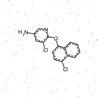 Nc1cnc(Oc2ccc(Cl)c3ccccc23)c(Cl)c1